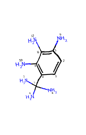 Nc1ccc(C(N)(N)N)c(N)c1N